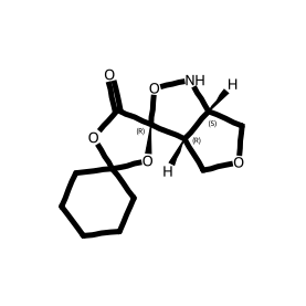 O=C1OC2(CCCCC2)O[C@]12ON[C@@H]1COC[C@@H]12